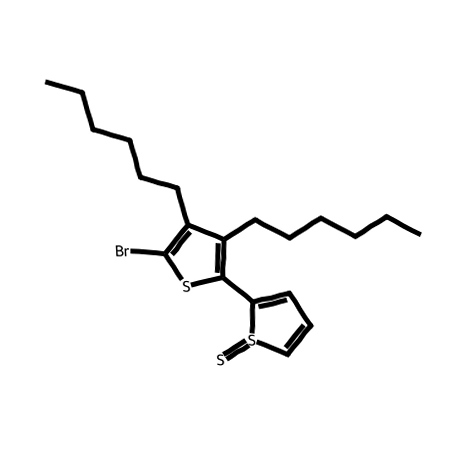 CCCCCCc1c(Br)sc(C2=CC=CS2=S)c1CCCCCC